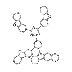 c1ccc2cc3c(cc2c1)c1ccccc1n3-c1ccc(-c2nc(-c3ccc4oc5ccccc5c4c3)nc(-c3ccc4oc5ccccc5c4c3)n2)cc1-c1ccc2c(c1)oc1ccccc12